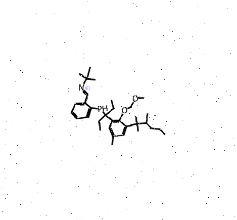 CCCC(C)C(C)(C)c1cc(C)cc(C(CC)(CC)Pc2ccccc2/C=N/C(C)(C)C)c1OCOC